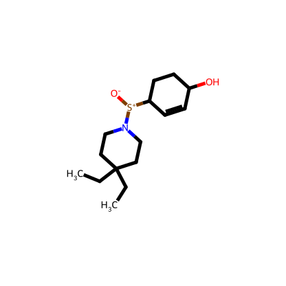 CCC1(CC)CCN([S+]([O-])C2C=CC(O)CC2)CC1